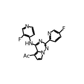 CC(=O)c1ccn2nc(-c3ccc(F)cn3)nc(Nc3ccncc3F)c12